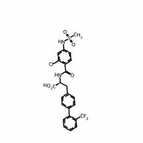 CS(=O)(=O)Nc1ccc(C(=O)N[C@@H](Cc2ccc(-c3ccccc3C(F)(F)F)cc2)C(=O)O)c(Cl)c1